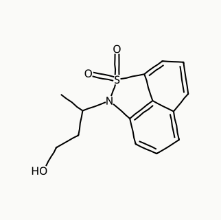 CC(CCO)N1c2cccc3cccc(c23)S1(=O)=O